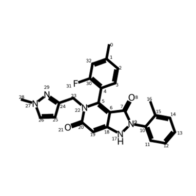 Cc1ccc(-c2c3c(=O)n(-c4ccccc4C)[nH]c3cc(=O)n2Cc2ccn(C)n2)c(F)c1